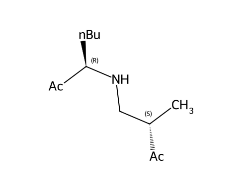 CCCC[C@@H](NC[C@H](C)C(C)=O)C(C)=O